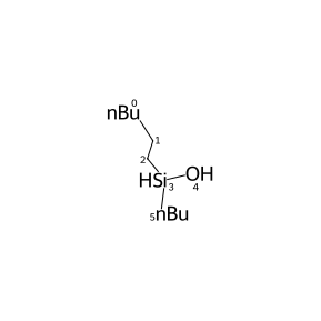 CCCCCC[SiH](O)CCCC